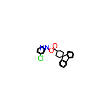 O=C(ONc1cccc(Cl)c1)C1CCC2(CC1)c1ccccc1-c1ccccc12